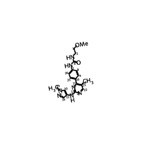 COCCNC(=O)Nc1ccc(-c2nc(Nc3cnn(C)c3)ncc2C)cc1